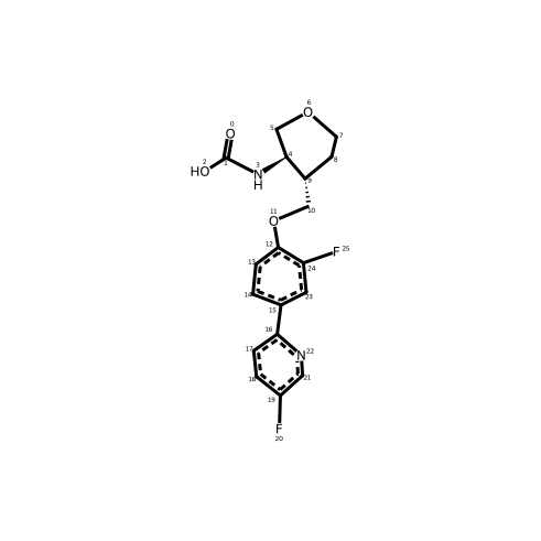 O=C(O)N[C@H]1COCC[C@@H]1COc1ccc(-c2ccc(F)cn2)cc1F